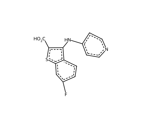 O=C(O)c1sc2cc(F)ccc2c1Nc1ccncc1